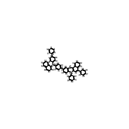 c1ccc(-c2ccc(N(c3ccc(-c4ccc5c(c4)Sc4c(cc(-c6ccccc6)c6ccccc46)N5c4ccccc4)cc3)c3cccc4ccccc34)cc2)cc1